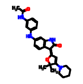 CC(=O)Nc1cccc(Nc2ccc3c(c2)NC(=O)/C3=C2\C=C(N3CCCCC3)C(C)(C)O2)c1